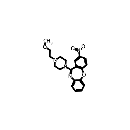 COCCN1CCN(C2=Nc3ccccc3Oc3ccc([N+](=O)[O-])cc32)CC1